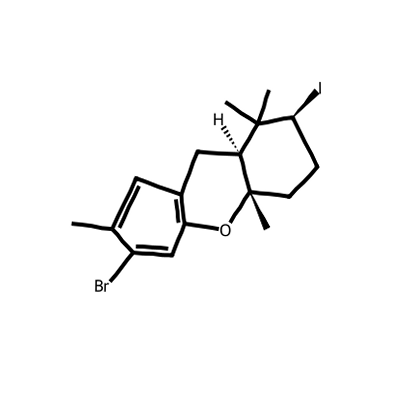 Cc1cc2c(cc1Br)O[C@@]1(C)CC[C@H](I)C(C)(C)[C@@H]1C2